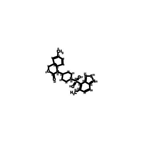 Cc1ccc2c(c1)COC(=O)N2C1CCN(S(=O)(=O)c2c(C)ccc3nsnc23)CC1